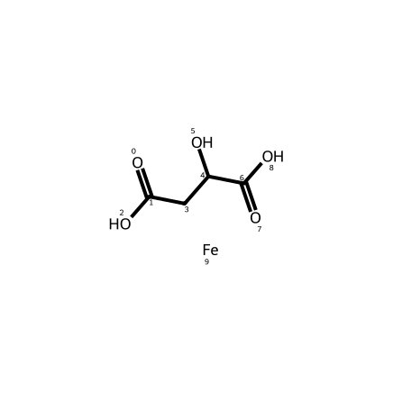 O=C(O)CC(O)C(=O)O.[Fe]